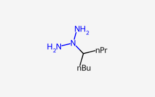 CCCCC(CCC)N(N)N